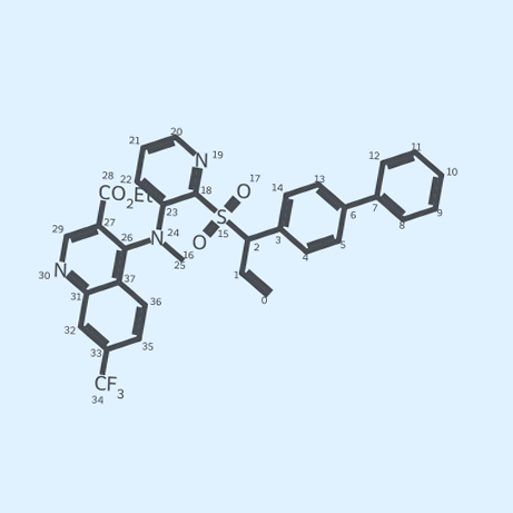 C=CC(c1ccc(-c2ccccc2)cc1)S(=O)(=O)c1ncccc1N(C)c1c(C(=O)OCC)cnc2cc(C(F)(F)F)ccc12